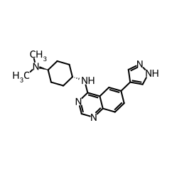 CN(C)[C@H]1CC[C@H](Nc2ncnc3ccc(-c4cn[nH]c4)cc23)CC1